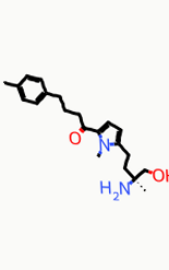 Cc1ccc(CCCC(=O)c2ccc(CC[C@](C)(N)CO)n2C)cc1